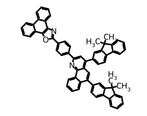 CC1(C)c2ccccc2-c2ccc(-c3cc4c(-c5ccc6c(c5)C(C)(C)c5ccccc5-6)cc(-c5ccc(-c6nc7c8ccccc8c8ccccc8c7o6)cc5)nc4c4ccccc34)cc21